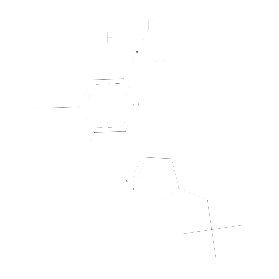 CC(C)(C)CC1CC(c2cc(C(F)(F)F)cc(Cl)c2F)=NO1